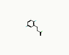 C=C(Cl)C[CH]c1cc(F)ccc1F